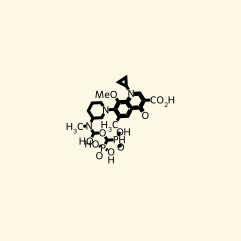 COc1c(N2CCCC(N(C)C(O)OC([PH](=O)O)P(=O)(O)O)C2)c(C)cc2c(=O)c(C(=O)O)cn(C3CC3)c12